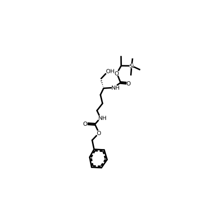 CC(OC(=O)N[C@@H](CO)CCCNC(=O)OCc1ccccc1)[Si](C)(C)C